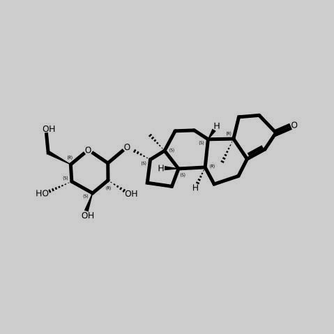 C[C@]12CC[C@H]3[C@@H](CCC4=CC(=O)CC[C@@]43C)[C@@H]1CC[C@@H]2OC1O[C@H](CO)[C@@H](O)[C@H](O)[C@H]1O